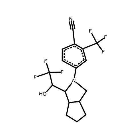 N#Cc1ccc(N2CC3CCCC3C2C(O)C(F)(F)F)cc1C(F)(F)F